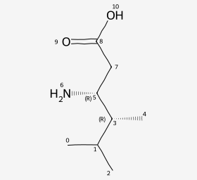 CC(C)[C@@H](C)[C@H](N)CC(=O)O